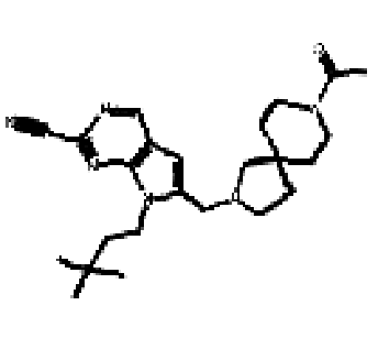 CC(=O)N1CCC2(CCN(Cc3cc4cnc(C#N)nc4n3CCC(C)(C)C)C2)CC1